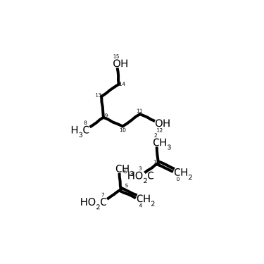 C=C(C)C(=O)O.C=C(C)C(=O)O.CC(CCO)CCO